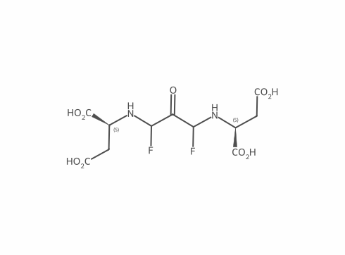 O=C(O)C[C@H](NC(F)C(=O)C(F)N[C@@H](CC(=O)O)C(=O)O)C(=O)O